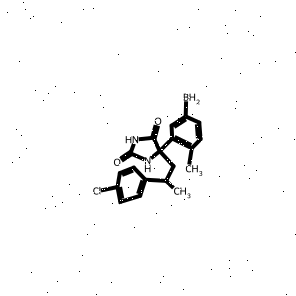 Bc1ccc(C)c(C2(CC(C)c3ccc(Cl)cc3)NC(=O)NC2=O)c1